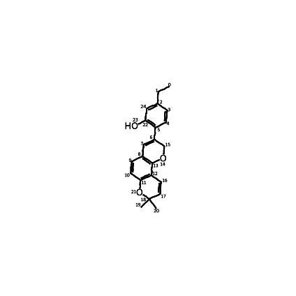 CCc1ccc(C2=Cc3ccc4c(c3OC2)C=CC(C)(C)O4)c(O)c1